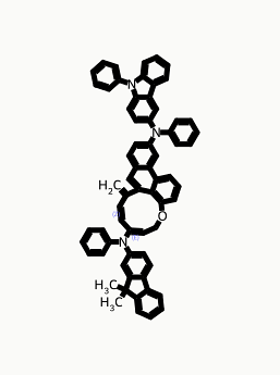 C=C1/C=C\C(N(c2ccccc2)c2ccc3c(c2)C(C)(C)c2ccccc2-3)=C/COc2cccc3c2c1cc1ccc(N(c2ccccc2)c2ccc4c(c2)c2ccccc2n4-c2ccccc2)cc13